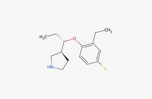 CCc1cc(F)ccc1O[C@@H](CC)[C@H]1CCNC1